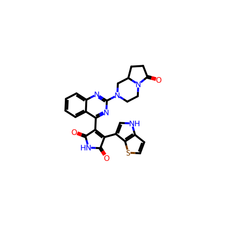 O=C1NC(=O)C(c2c[nH]c3ccsc23)=C1c1nc(N2CCN3C(=O)CCC3C2)nc2ccccc12